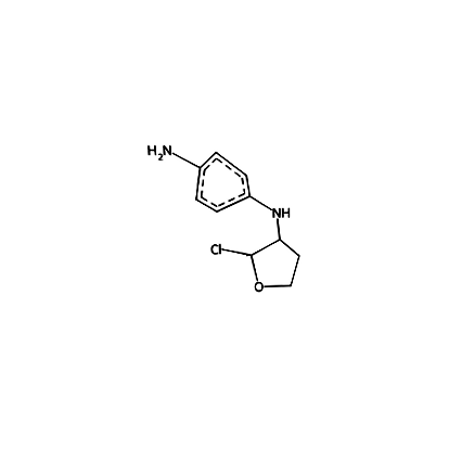 Nc1ccc(NC2CCO[C]2Cl)cc1